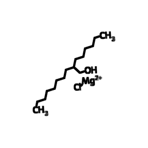 CCCCCCCCC(CO)CCCCCC.[Mg+2][Cl]